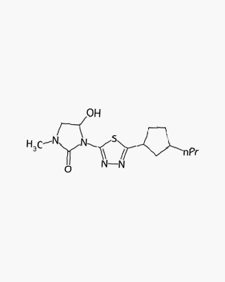 CCCC1CCC(c2nnc(N3C(=O)N(C)CC3O)s2)C1